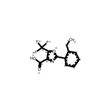 CCc1ccccc1-c1nc(C(=O)O)c(C(F)(F)F)o1